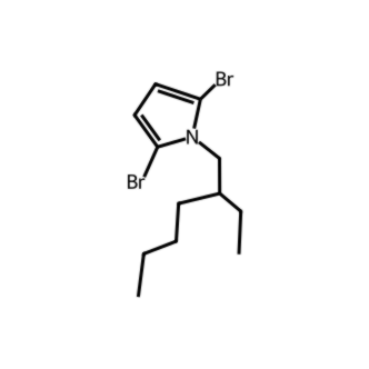 CCCCC(CC)Cn1c(Br)ccc1Br